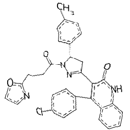 Cc1ccc([C@@H]2CC(c3c(-c4ccc(Cl)cc4)c4ccccc4[nH]c3=O)=NN2C(=O)CCc2ncco2)cc1